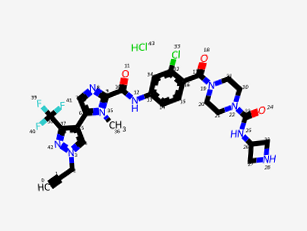 C#CCn1cc(-c2cnc(C(=O)Nc3ccc(C(=O)N4CCN(C(=O)NC5CNC5)CC4)c(Cl)c3)n2C)c(C(F)(F)F)n1.Cl